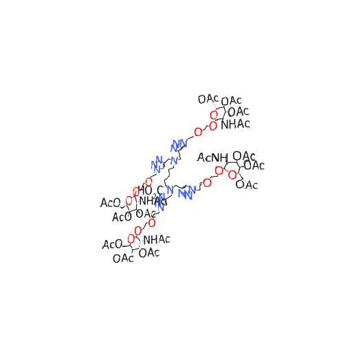 CC(=O)N[C@H]1[C@H](OCCOCCn2cc(CN(CCCC[C@@H](C(=O)O)N(Cc3cn(CCOCCO[C@@H]4O[C@H](COC(C)=O)[C@H](OC(C)=O)[C@H](OC(C)=O)[C@H]4NC(C)=O)nn3)Cc3cn(CCOCCO[C@@H]4O[C@H](COC(C)=O)[C@H](OC(C)=O)[C@H](OC(C)=O)[C@H]4NC(C)=O)nn3)Cc3cn(CCOCCO[C@@H]4O[C@H](COC(C)=O)[C@H](OC(C)=O)[C@H](OC(C)=O)[C@H]4NC(C)=O)nn3)nn2)O[C@H](COC(C)=O)[C@H](OC(C)=O)[C@@H]1OC(C)=O